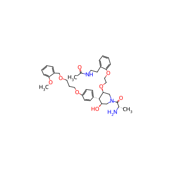 COc1ccccc1COCCCOc1ccc([C@H]2[C@H](O)CN(C(=O)[C@H](C)N)C[C@@H]2OCCOc2ccccc2CCNC(C)=O)cc1